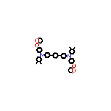 Cc1ccc(N(c2ccc(OC3CCCCO3)cc2)c2ccc(-c3ccc(-c4ccc(N(c5ccc(OC6CCCCO6)cc5)c5ccc(C)c(C)c5)cc4)cc3)cc2)cc1C